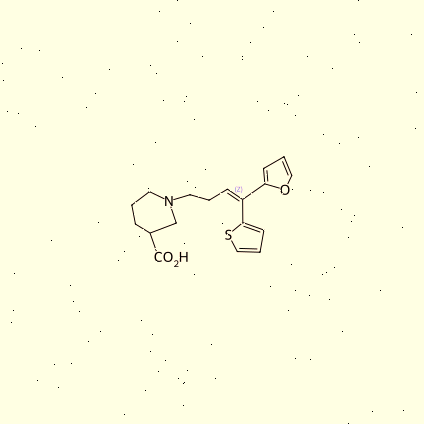 O=C(O)C1CCCN(CC/C=C(/c2ccco2)c2cccs2)C1